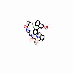 C=CC(=O)N1CC(Cn2c(=O)c(=O)n(C3=C(C)C=CCC3C(C)C)c3cc(-c4cc(O)cc5ccccc45)c(Cl)cc32)C1